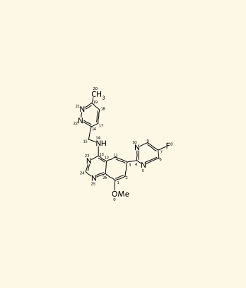 COc1cc(-c2ncc(F)cn2)cc2c(NCc3ccc(C)nn3)ncnc12